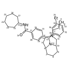 C=CCN1CCC2CCCC(C1)N2C(c1ccc(C(=O)NC2CCCCCC2)cc1)c1cccc(CC)c1